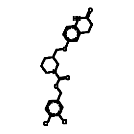 O=C1CCc2cc(OCC3CCCN(C(=O)OCc4ccc(Cl)c(Cl)c4)C3)ccc2N1